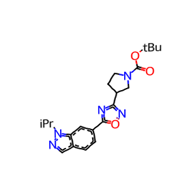 CC(C)n1ncc2ccc(-c3nc(C4CCN(C(=O)OC(C)(C)C)C4)no3)cc21